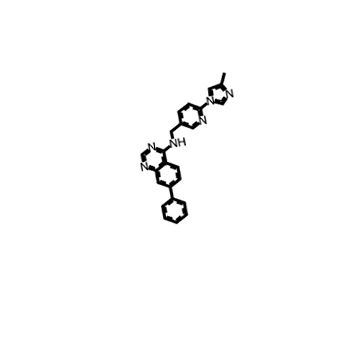 Cc1cn(-c2ccc(CNc3ncnc4cc(-c5ccccc5)ccc34)cn2)cn1